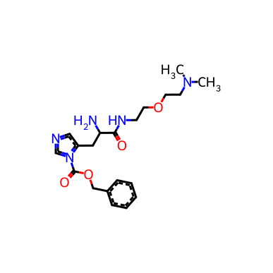 CN(C)CCOCCNC(=O)C(N)Cc1cncn1C(=O)OCc1ccccc1